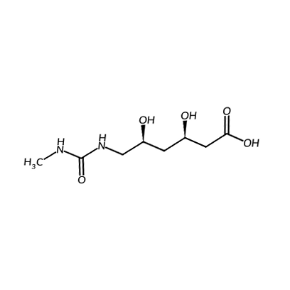 CNC(=O)NC[C@@H](O)C[C@@H](O)CC(=O)O